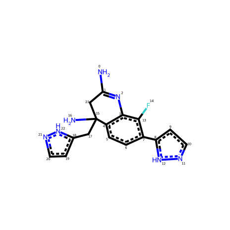 NC1=Nc2c(ccc(-c3ccn[nH]3)c2F)C(N)(Cc2ccn[nH]2)C1